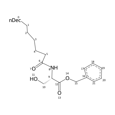 CCCCCCCCCCCCCCCC(=O)N[C@@H](CO)C(=O)OCc1ccccc1